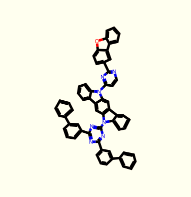 c1ccc(-c2cccc(-c3nc(-c4cccc(-c5ccccc5)c4)nc(-n4c5ccccc5c5cc6c(cc54)c4ccccc4n6-c4ccnc(-c5ccc6oc7ccccc7c6c5)n4)n3)c2)cc1